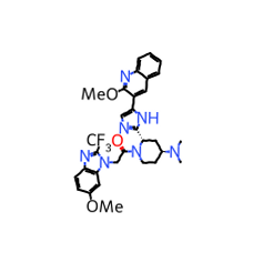 COc1ccc2nc(C(F)(F)F)n(CC(=O)N3CC[C@H](N(C)C)C[C@H]3c3ncc(-c4cc5ccccc5nc4OC)[nH]3)c2c1